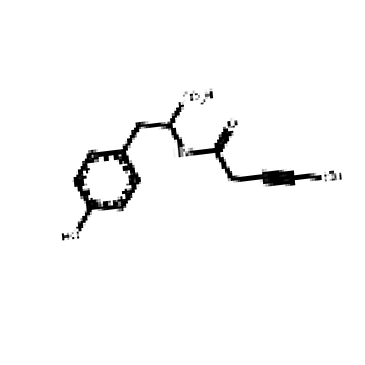 CC(C)(C)C#CCC(=O)NC(Cc1ccc(O)cc1)C(=O)O